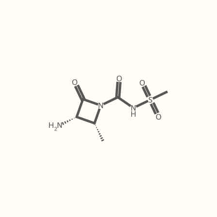 C[C@@H]1[C@H](N)C(=O)N1C(=O)NS(C)(=O)=O